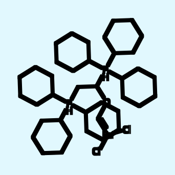 [Cl][Ru]([Cl])=[CH]OC(C[PH](C1CCCCC1)(C1CCCCC1)C1CCCCC1)[PH](C1CCCCC1)(C1CCCCC1)C1CCCCC1